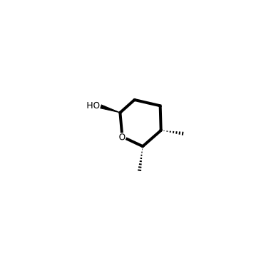 C[C@@H]1O[C@@H](O)CC[C@@H]1C